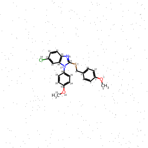 COc1ccc(CSc2nc3ccc(Cl)cc3n2-c2ccc(OC)cc2)cc1